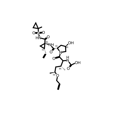 C=CCO[C@@H](C)C[C@@H](C)C(NC(=O)O)C(=O)N1C[C@H](O)C[C@H]1C(=O)N[C@]1(C(=O)NS(=O)(=O)C2(C)CC2)C[C@H]1C=C